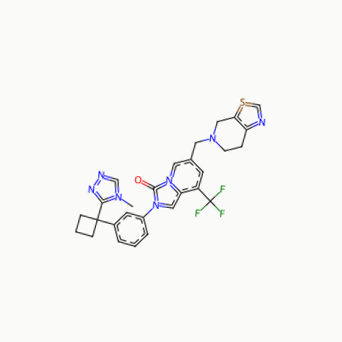 Cn1cnnc1C1(c2cccc(-n3cc4c(C(F)(F)F)cc(CN5CCc6ncsc6C5)cn4c3=O)c2)CCC1